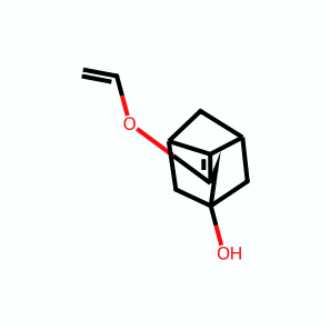 C=COC1=C2C3CC2CC(O)(C1)C3